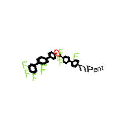 CCCCCc1ccc(-c2ccc(C(F)(F)Oc3ccc(-c4ccc(-c5cc(F)c(F)c(F)c5)c(F)c4)cc3)c(F)c2)c(F)c1